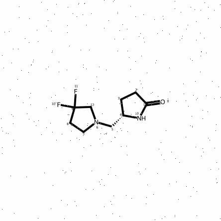 O=C1CC[C@@H](CN2CCC(F)(F)C2)N1